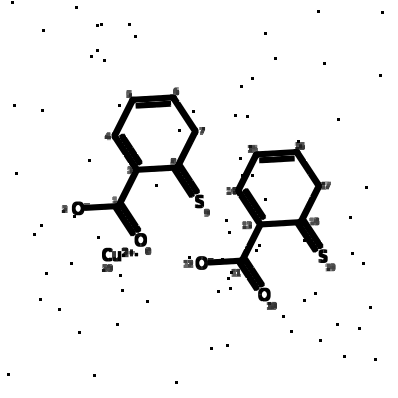 O=C([O-])C1=CC=CCC1=S.O=C([O-])C1=CC=CCC1=S.[Cu+2]